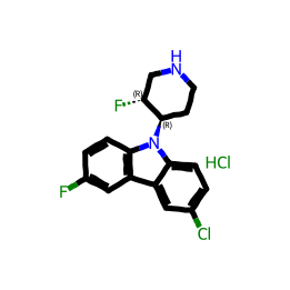 Cl.Fc1ccc2c(c1)c1cc(Cl)ccc1n2[C@@H]1CCNC[C@H]1F